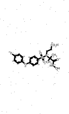 CC(C)(C(=O)NO)N(CCC(=O)O)S(=O)(=O)c1ccc(Oc2ccc(F)cc2)cc1